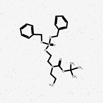 CCCN(CCOP(=O)(OCc1ccccc1)OCc1ccccc1)C(=O)OC(C)(C)C